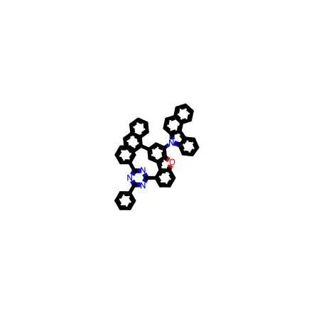 c1ccc(-c2nc(-c3ccccc3)nc(-c3cccc4oc5c(-n6c7ccccc7c7c8ccccc8ccc76)cc(-c6cccc7ccccc67)cc5c34)n2)cc1